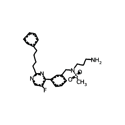 CS(=O)(=O)N(CCCN)Cc1cccc(-c2nc(CCCCc3ccccc3)ncc2F)c1